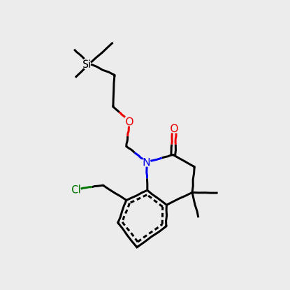 CC1(C)CC(=O)N(COCC[Si](C)(C)C)c2c(CCl)cccc21